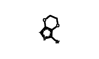 Brc1s[c]c2c1OCCO2